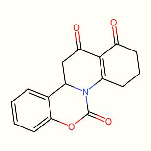 O=C1CCCC2=C1C(=O)CC1c3ccccc3OC(=O)N21